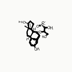 C[C@]12CC[C@@H]3c4ccc(O)cc4CC[C@H]3[C@@H]1CC[C@@H]2O.O=[N+]([O-])C(O)C(O)CO